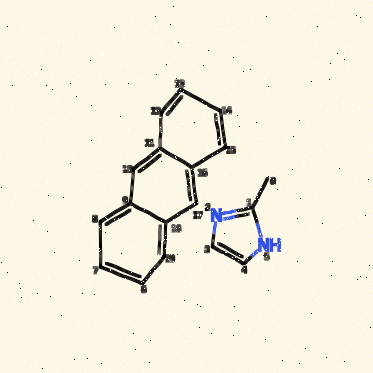 Cc1ncc[nH]1.c1ccc2cc3ccccc3cc2c1